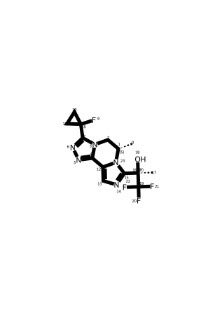 C[C@H]1Cn2c(nnc2C2(F)CC2)-c2cnc([C@@](C)(O)C(F)(F)F)n21